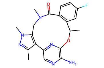 Cc1nn(C)c2c1-c1cnc(N)c(n1)OC(C)c1cc(F)ccc1C(=O)N(C)C2